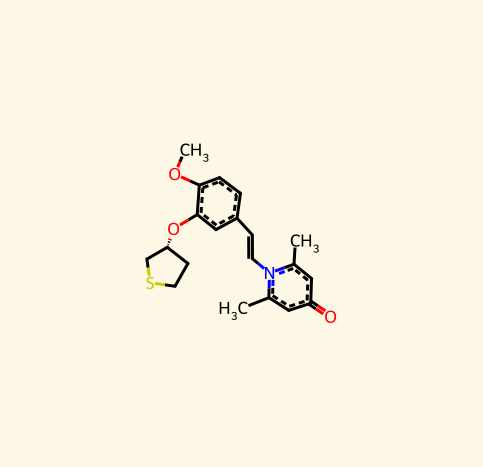 COc1ccc(/C=C/n2c(C)cc(=O)cc2C)cc1O[C@@H]1CCSC1